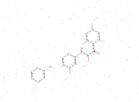 COc1cc(O)c2c(=O)c(OC)c(-c3ccc(OCc4ccccc4)c(OC)c3)oc2c1